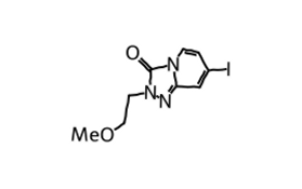 COCCn1nc2cc(I)ccn2c1=O